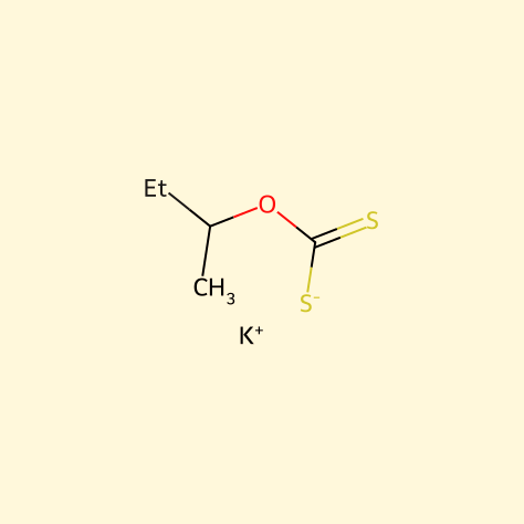 CCC(C)OC(=S)[S-].[K+]